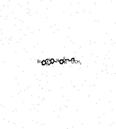 Cc1ccc(/C=C/c2nc3ccc(/N=C/c4ccc5c(c4)CN4CN5Cc5cc(Br)ccc54)cc3s2)o1